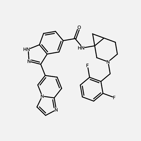 O=C(NC12CC1CCN(Cc1c(F)cccc1F)C2)c1ccc2[nH]nc(-c3ccc4nccn4c3)c2c1